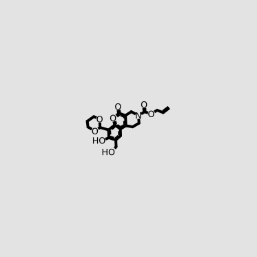 C=CCOC(=O)N1CCc2c(c(=O)oc3c(C4OCCCO4)c(O)c(CO)cc23)C1